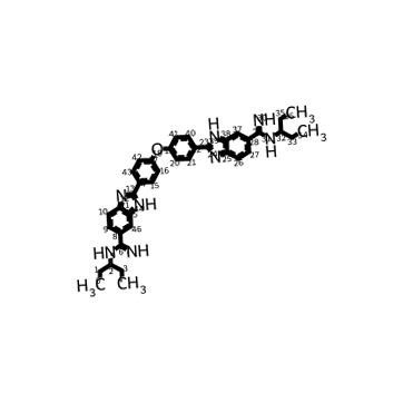 CCC(CC)NC(=N)c1ccc2nc(-c3ccc(Oc4ccc(-c5nc6ccc(C(=N)NC(CC)CC)cc6[nH]5)cc4)cc3)[nH]c2c1